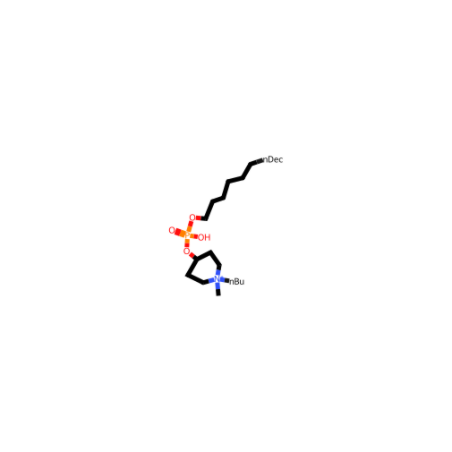 CCCCCCCCCCCCCCCCOP(=O)(O)OC1CC[N+](C)(CCCC)CC1